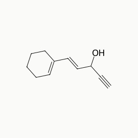 C#CC(O)C=CC1=CCCCC1